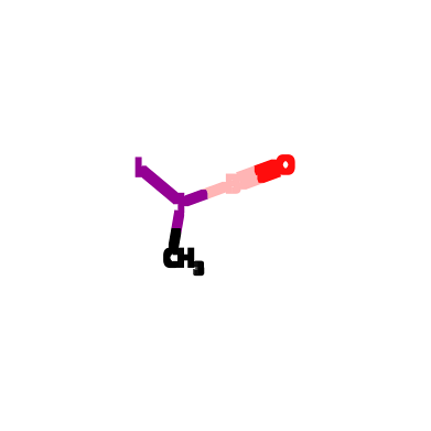 CI(I)B=O